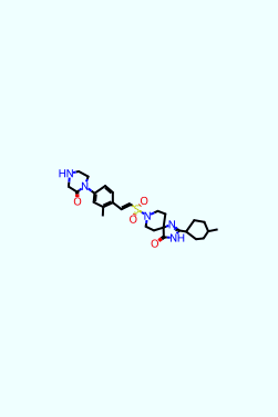 Cc1cc(N2CCNCC2=O)ccc1/C=C/S(=O)(=O)N1CCC2(CC1)N=C(C1CCC(C)CC1)NC2=O